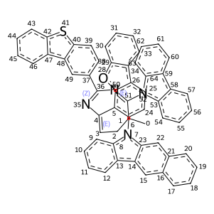 CC1C/C=C(c2c(-n3c4ccccc4c4cc5ccccc5cc43)ccc3c2oc2ccccc23)/N=C(c2ccc3sc4ccccc4c3c2)\N=C/1n1c2ccccc2c2ccccc21